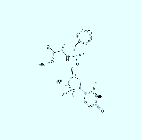 CCCCOC(=O)C(C)NP(=O)(OC[C@H]1OC(n2ccc(=O)[nH]c2=O)[C@@](C)(F)[C@@H]1O)Oc1ccccc1